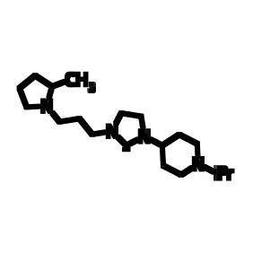 CC(C)N1CCC(N2[C]N(CCCN3CCCC3C)CC2)CC1